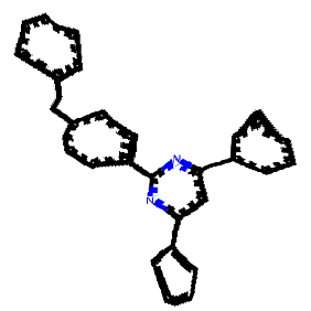 C1=CC=C(c2cc(-c3ccccc3)nc(-c3ccc(Cc4ccccc4)cc3)n2)C=1